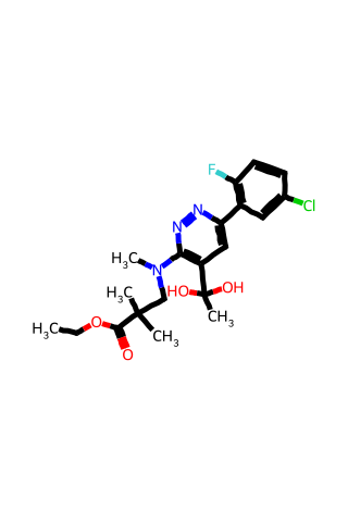 CCOC(=O)C(C)(C)CN(C)c1nnc(-c2cc(Cl)ccc2F)cc1C(C)(O)O